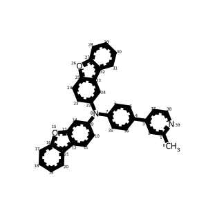 Cc1cc(-c2ccc(N(c3ccc4c(c3)oc3ccccc34)c3ccc4oc5ccccc5c4c3)cc2)ccn1